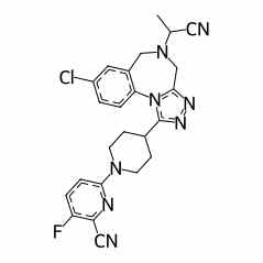 CC(C#N)N1Cc2cc(Cl)ccc2-n2c(nnc2C2CCN(c3ccc(F)c(C#N)n3)CC2)C1